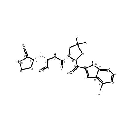 CC1(C)C[C@@H](C(=O)N[C@H](C=O)C[C@@H]2CCNC2=O)N(C(=O)c2cc3c(F)cccc3[nH]2)C1